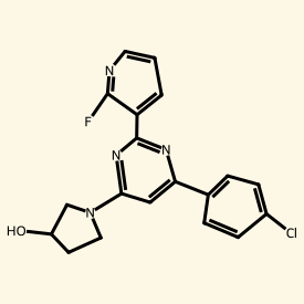 OC1CCN(c2cc(-c3ccc(Cl)cc3)nc(-c3cccnc3F)n2)C1